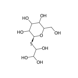 OCC1O[C@@H](SC(O)C(O)O)C(O)C(O)C1O